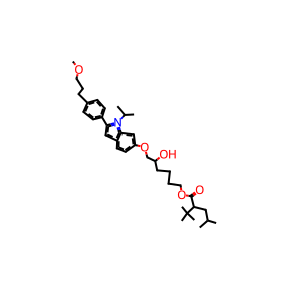 COCCCc1ccc(-c2cc3ccc(OCC(O)CCCCOC(=O)C(CC(C)C)C(C)(C)C)cc3n2C(C)C)cc1